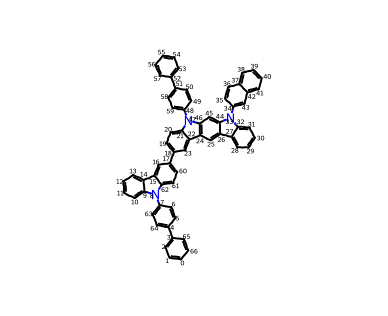 c1ccc(-c2ccc(-n3c4ccccc4c4cc(-c5ccc6c(c5)c5cc7c8ccccc8n(-c8ccc9ccccc9c8)c7cc5n6-c5ccc(-c6ccccc6)cc5)ccc43)cc2)cc1